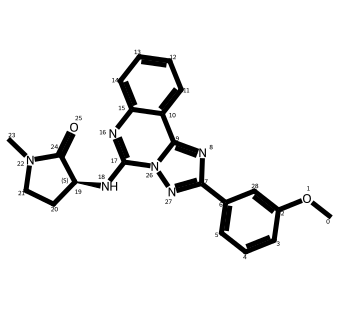 COc1cccc(-c2nc3c4ccccc4nc(N[C@H]4CCN(C)C4=O)n3n2)c1